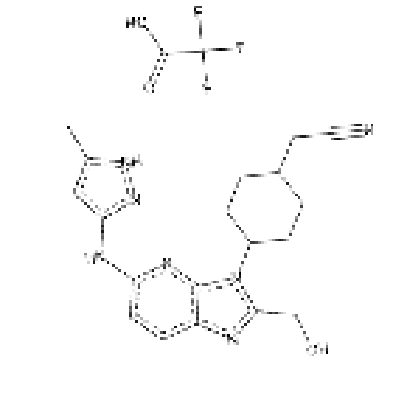 Cc1cc(Nc2ccc3nc(CO)n(C4CCC(CC#N)CC4)c3n2)n[nH]1.O=C(O)C(F)(F)F